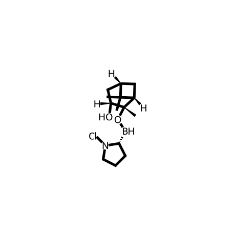 CC1(C)[C@@H]2C[C@@H](O)[C@@](C)(OB[C@@H]3CCCN3Cl)[C@H]1C2